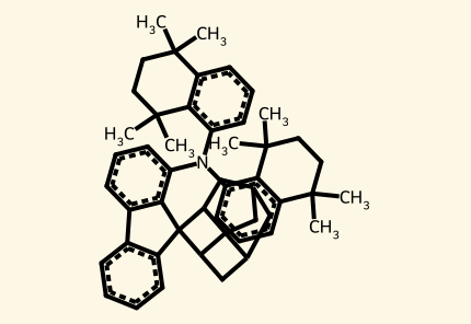 CC1(C)CCC(C)(C)c2c(N(c3cccc4c3C(C)(C)CCC4(C)C)c3cccc4c3C3(c5ccccc5-4)C4CC5CC6CC3C64C5)cccc21